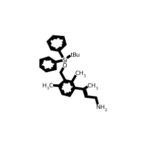 C/C(=C\CN)c1ccc(C)c(CO[Si](c2ccccc2)(c2ccccc2)C(C)(C)C)c1C